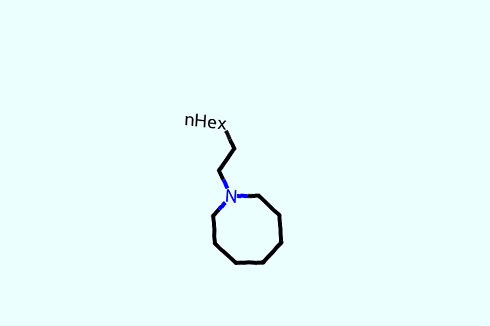 CCCCCCCCN1CCCCCCC1